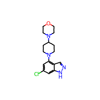 Clc1cc(N2CCC(N3CCOCC3)CC2)c2cn[nH]c2c1